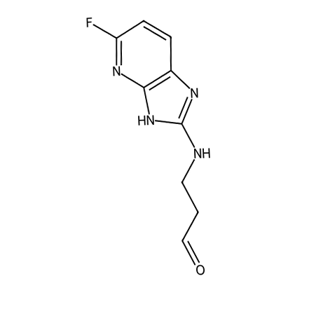 O=CCCNc1nc2ccc(F)nc2[nH]1